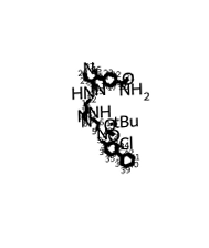 CC(C)(C)OC(=O)N(CCc1nnc(CCNc2nc3cc(C(N)=O)ccc3c3cnccc23)[nH]1)Cc1ccc(-c2ccccc2)c(Cl)c1